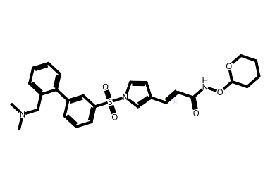 CN(C)Cc1ccccc1-c1cccc(S(=O)(=O)n2ccc(/C=C/C(=O)NOC3CCCCO3)c2)c1